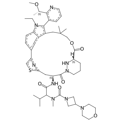 CCn1c(-c2cccnc2[C@H](C)OC)c2c3cc(ccc31)-c1csc(n1)C[C@H](NC(=O)C(C(C)C)N(C)C(=O)N1CC(N3CCOCC3)C1)C(=O)N1CCC[C@H](N1)C(=O)OCC(C)(C)C2